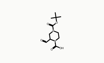 CC(C)(C)OC(=O)N1CCN(C(=O)O)C(C=O)C1